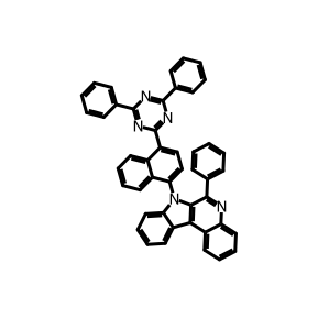 c1ccc(-c2nc(-c3ccccc3)nc(-c3ccc(-n4c5ccccc5c5c6ccccc6nc(-c6ccccc6)c54)c4ccccc34)n2)cc1